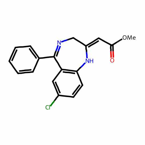 COC(=O)C=C1CN=C(c2ccccc2)c2cc(Cl)ccc2N1